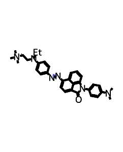 CCN(CC[N+](C)(C)C)c1ccc(/N=N/c2ccc3c4c(cccc24)N(c2ccc(N(C)C)cc2)C3=O)cc1